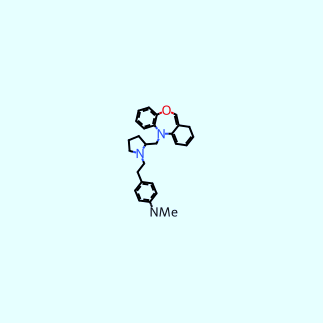 CNc1ccc(CCN2CCCC2CN2C3=CC=CCC3=COc3ccccc32)cc1